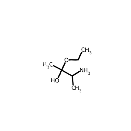 CCOC(C)(O)C(C)N